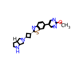 COc1ncc(-c2ccc3nc([C@H]4C[C@@H](N5CC6NCC[C@@H]6C5)C4)sc3c2)cn1